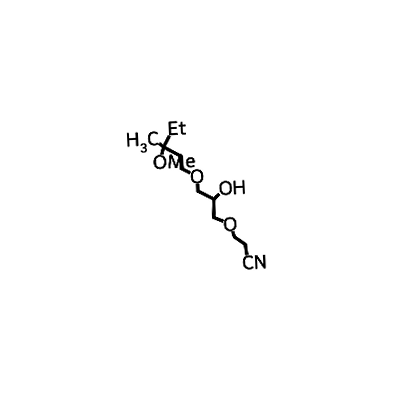 CCC(C)(CCOCC(O)COCCC#N)OC